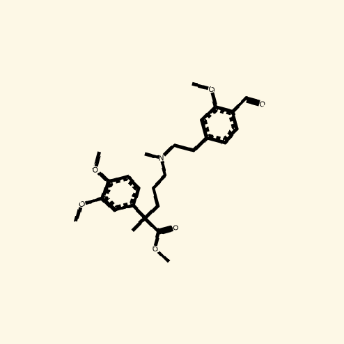 COC(=O)C(C)(CCCN(C)CCc1ccc(C=O)c(OC)c1)c1ccc(OC)c(OC)c1